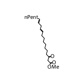 CCCCCC=CCC=CCCCCCCCC(=O)CC(=O)OC